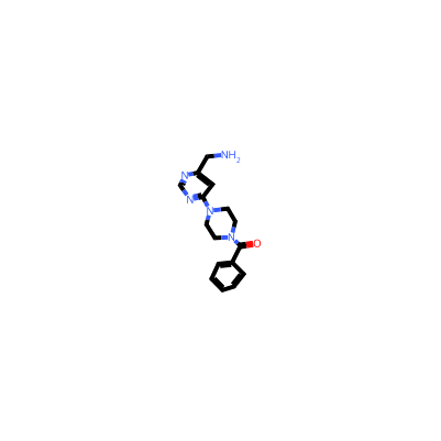 NCc1cc(N2CCN(C(=O)c3ccccc3)CC2)ncn1